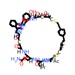 CN[C@]1(C)CSCc2ccc(cc2)-c2ccc(cc2)CSC[C@@](C)(C(C)=O)NN[C@@H](CC(C)C)C(=O)N[C@@H](CCC(N)=O)C(=O)CN[C@@H](C)C(=O)CC(=O)[C@H](Cc2c[nH]c3ccccc23)NN[C@@H](Cc2ccc(O)cc2)C(=O)CN[C@@H](C)C(=O)CC1=O